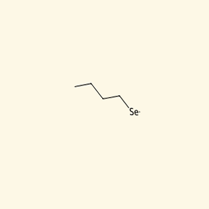 CCCC[Se]